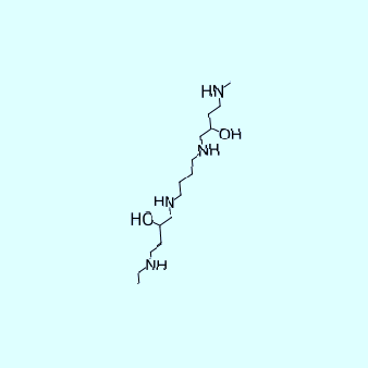 CCNCCC(O)CNCCCCNCC(O)CCNC